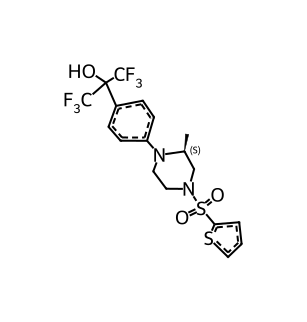 C[C@H]1CN(S(=O)(=O)c2cccs2)CCN1c1ccc(C(O)(C(F)(F)F)C(F)(F)F)cc1